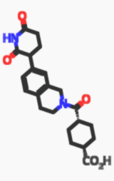 O=C1CCC(c2ccc3c(c2)CN(C(=O)[C@H]2CC[C@H](C(=O)O)CC2)CC3)C(=O)N1